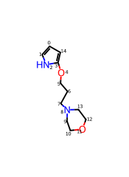 c1c[nH]c(OCCCN2CCOCC2)c1